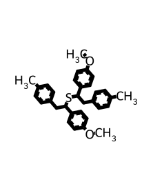 COc1ccc(C(Cc2ccc(C)cc2)SC(Cc2ccc(C)cc2)c2ccc(OC)cc2)cc1